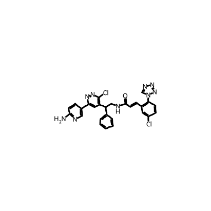 Nc1ccc(-c2cc(C(CNC(=O)/C=C/c3cc(Cl)ccc3-n3cnnn3)c3ccccc3)c(Cl)nn2)cn1